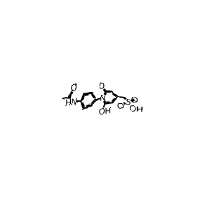 CC(=O)Nc1ccc(-n2c(O)cc(CS(=O)(=O)O)cc2=O)cc1